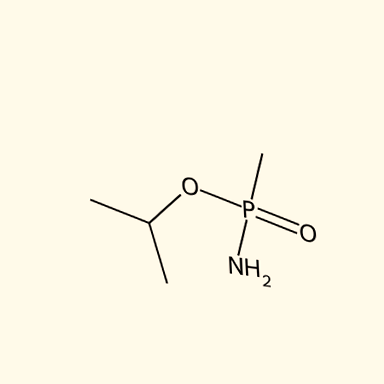 CC(C)OP(C)(N)=O